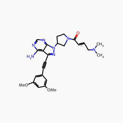 COc1cc(C#Cc2nn(C3CCN(C(=O)/C=C/CN(C)C)C3)c3ncnc(N)c23)cc(OC)c1